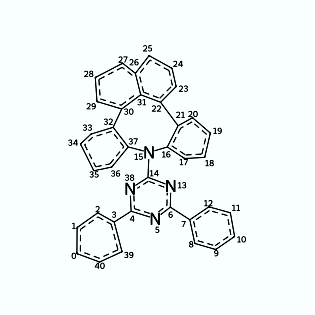 c1ccc(-c2nc(-c3ccccc3)nc(N3c4ccccc4-c4cccc5cccc(c45)-c4ccccc43)n2)cc1